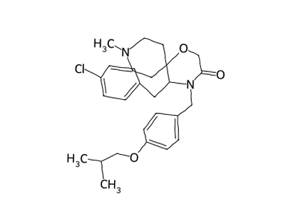 CC(C)COc1ccc(CN2C(=O)COC3(CCN(C)CC3)C2Cc2ccc(Cl)cc2)cc1